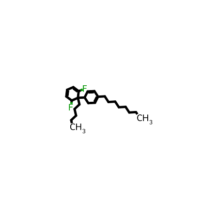 CCCCCCCCC1=CCC(C2(CCCCC)C(F)=CC=CC2F)C=C1